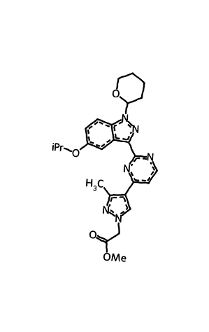 COC(=O)Cn1cc(-c2ccnc(-c3nn(C4CCCCO4)c4ccc(OC(C)C)cc34)n2)c(C)n1